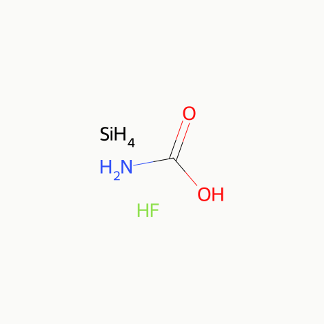 F.NC(=O)O.[SiH4]